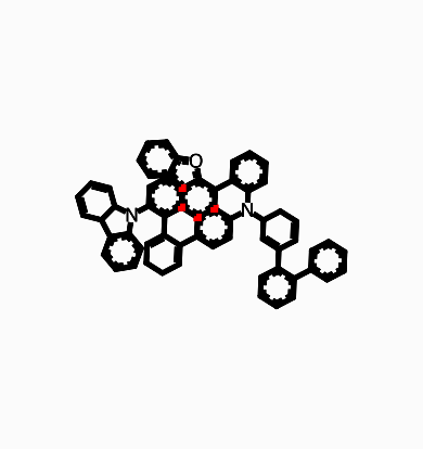 C1=CC2c3ccccc3N(c3ccccc3C3=CCCC=C3c3ccc(N(c4ccccc4-c4cccc5c4oc4ccccc45)C4C=C(c5ccccc5-c5ccccc5)C=CC4)cc3)C2C=C1